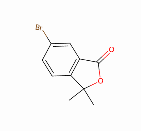 CC1(C)OC(=O)c2cc(Br)ccc21